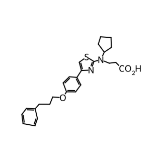 O=C(O)CCN(c1nc(-c2ccc(OCCCc3ccccc3)cc2)cs1)C1CCCC1